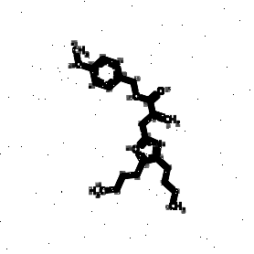 C=C(Cc1nc(CCCC)c(CCCC)o1)C(=O)OCc1ccc(OC)cc1